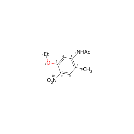 CCOc1cc(NC(C)=O)c(C)cc1[N+](=O)[O-]